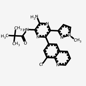 Cn1ccc(-c2nc(N)c(NC(=O)C(C)(C)C)nc2-c2cc(Cl)c3ncccc3c2)n1